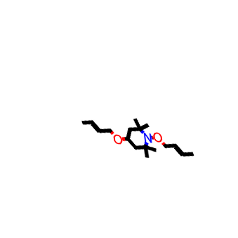 CC=CCOC1CC(C)(C)N(OCC=CC)C(C)(C)C1